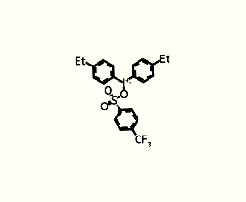 CCc1ccc([I+](OS(=O)(=O)c2ccc(C(F)(F)F)cc2)c2ccc(CC)cc2)cc1